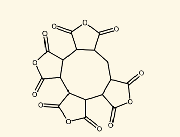 O=C1OC(=O)C2C1CC1C(=O)OC(=O)C1C1C(=O)OC(=O)C1C1C(=O)OC(=O)C21